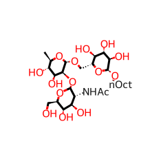 CCCCCCCCO[C@@H]1O[C@H](CO[C@H]2O[C@H](C)[C@@H](O)[C@H](O)[C@@H]2O[C@@H]2O[C@H](CO)[C@@H](O)[C@H](O)[C@H]2NC(C)=O)[C@@H](O)[C@H](O)[C@H]1O